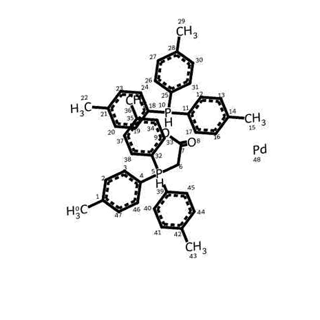 Cc1ccc([PH](CC(=O)O[PH](c2ccc(C)cc2)(c2ccc(C)cc2)c2ccc(C)cc2)(c2ccc(C)cc2)c2ccc(C)cc2)cc1.[Pd]